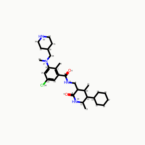 Cc1c(C(=O)NCC2C(=O)NC(C)C(C3CCCCC3)C2C)cc(Cl)cc1N(C)CC1CCNCC1